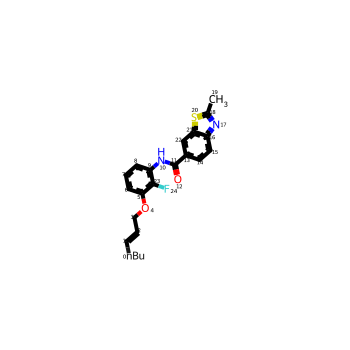 CCCCC=CCOc1cccc(NC(=O)c2ccc3nc(C)sc3c2)c1F